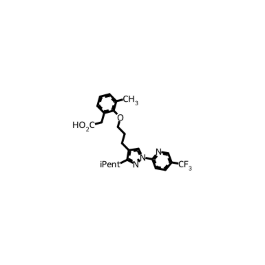 CCCC(C)c1nn(-c2ccc(C(F)(F)F)cn2)cc1CCCOc1c(C)cccc1CC(=O)O